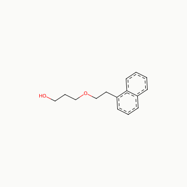 OCCCOCCc1cccc2ccccc12